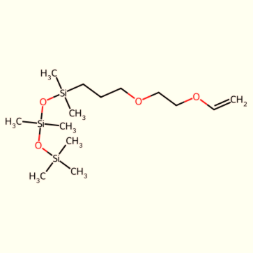 C=COCCOCCC[Si](C)(C)O[Si](C)(C)O[Si](C)(C)C